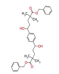 CC(C)(CCC(O)c1ccc(C(O)CCC(C)(C)C(=O)OCc2ccccc2)cc1)C(=O)OCc1ccccc1